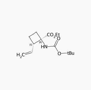 C=C[C@@H]1CC[C@]1(NC(=O)OC(C)(C)C)C(=O)OCC